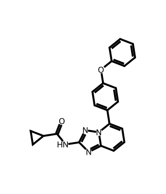 O=C(Nc1nc2cccc(-c3ccc(Oc4ccccc4)cc3)n2n1)C1CC1